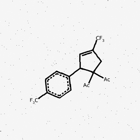 CC(=O)C1(C(C)=O)CC(C(F)(F)F)=CC1c1ccc(C(F)(F)F)cc1